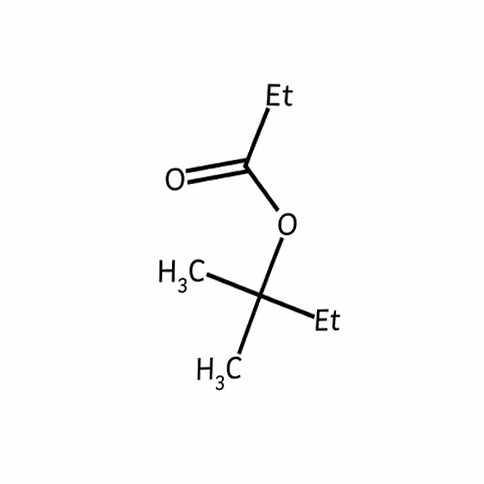 [CH2]CC(=O)OC(C)(C)CC